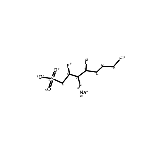 O=S(=O)([O-])CC(F)C(F)C(F)CCCF.[Na+]